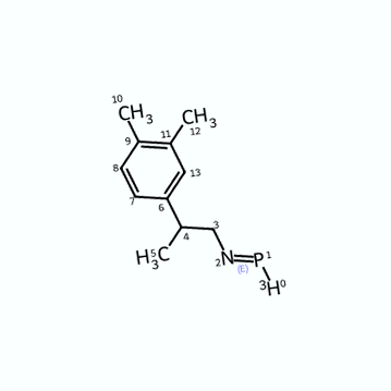 [3H]/P=N/CC(C)c1ccc(C)c(C)c1